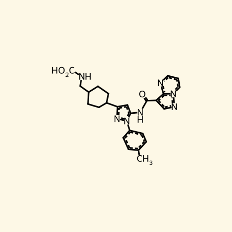 Cc1ccc(-n2nc(C3CCC(CNC(=O)O)CC3)cc2NC(=O)c2cnn3cccnc23)cc1